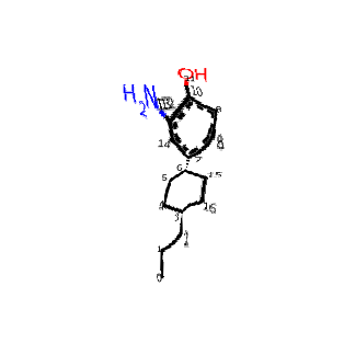 CCC[C@H]1CC[C@H](c2ccc(O)c(N)c2)CC1